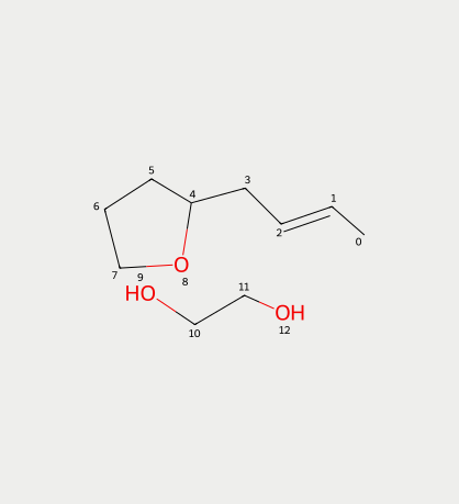 C/C=C/CC1CCCO1.OCCO